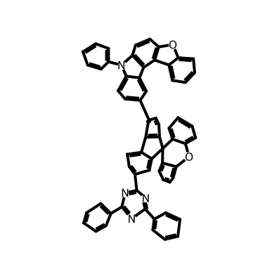 c1ccc(-c2nc(-c3ccccc3)nc(-c3ccc4c(c3)C3(c5ccccc5Oc5ccccc53)c3ccc(-c5ccc6c(c5)c5c7c(ccc5n6-c5ccccc5)oc5ccccc57)cc3-4)n2)cc1